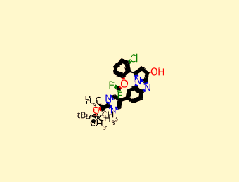 CC(C)(O[Si](C)(C)C(C)(C)C)c1ncc(-c2ccc3nc4n(c3c2)[C@@H](c2c(Cl)cccc2OC(F)F)C[C@@H]4O)cn1